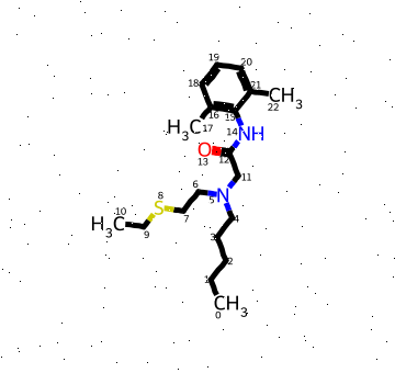 CCCCCN(CCSCC)CC(=O)Nc1c(C)cccc1C